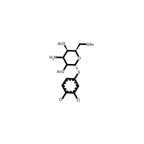 CC(=O)OC[C@H]1O[C@H](Sc2ccc(Cl)c(Cl)c2)C(OC(C)=O)C(N)[C@H]1OC(C)=O